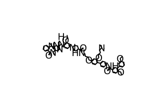 CCOc1cc(N2CCC(C(=O)NCCCOc3ccc(-c4ccc(NC(=O)c5ccc(OC)c(-c6cccc(OC)c6)c5)cc4)c(OCCCN(C)C)c3)CC2)ccc1Nc1ncc2c(n1)N(C)c1ccccc1C(=O)N2C